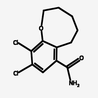 NC(=O)c1cc(Cl)c(Cl)c2c1CCCCCO2